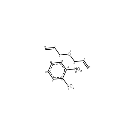 C=CCOCC=C.O=[N+]([O-])c1ccccc1[N+](=O)[O-]